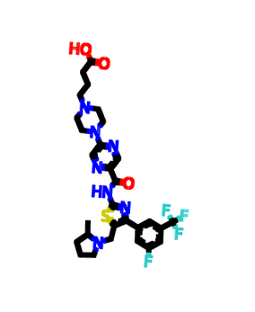 CC1CCCN1Cc1sc(NC(=O)c2cnc(N3CCN(CCCC(=O)O)CC3)cn2)nc1-c1cc(F)cc(C(F)(F)F)c1